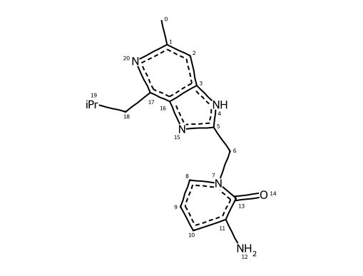 Cc1cc2[nH]c(Cn3cccc(N)c3=O)nc2c(CC(C)C)n1